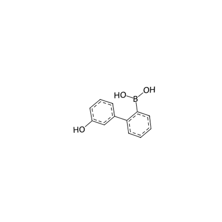 OB(O)c1ccccc1-c1cccc(O)c1